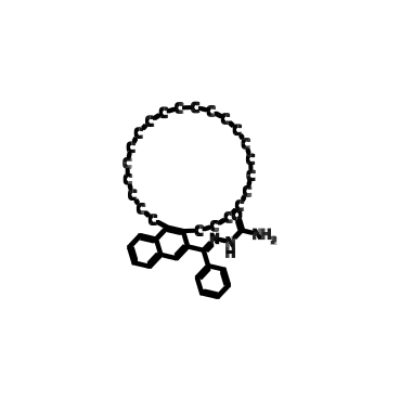 NC(=O)NN=C(c1ccccc1)c1cc2ccccc2c2c1CCCCCCCCCCCCCCCCCCCCCC2